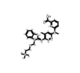 Cc1cc(N(C)c2cccc(C(=O)O)n2)nnc1/N=c1\sc2ccccc2n1COCC[Si](C)(C)C